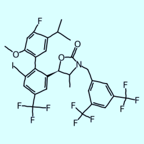 COc1cc(F)c(C(C)C)cc1-c1c(I)cc(C(F)(F)F)cc1[C@H]1OC(=O)N(Cc2cc(C(F)(F)F)cc(C(F)(F)F)c2)C1C